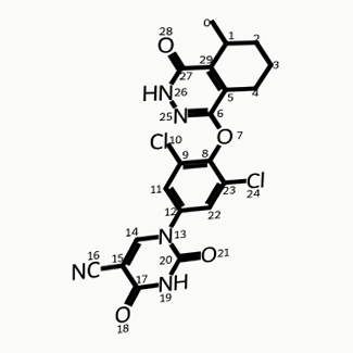 CC1CCCc2c(Oc3c(Cl)cc(-n4cc(C#N)c(=O)[nH]c4=O)cc3Cl)n[nH]c(=O)c21